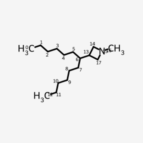 CCCCCCC(CCCCCC)C1CN(C)C1